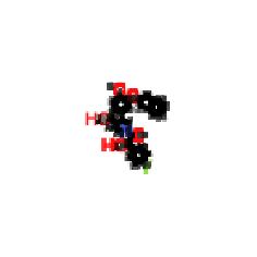 COc1ccc([C@@H]2CN(C(=O)C(O)c3ccc(F)cc3)C[C@@]2(C)[C@@H](C)O)cc1OC1Cc2ccccc2C1